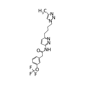 Cc1cn(CCCCc2ccc(NC(=O)Cc3cccc(OC(F)(F)F)c3)nn2)nn1